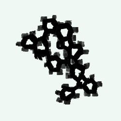 c1ccc(-c2cc(-c3cccc(-n4c5cc6c(cc5c5ccc7c8ccccc8oc7c54)c4ccccc4n6-c4ccccc4)c3)nc3ccccc23)cc1